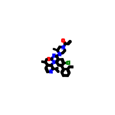 C=CC(=O)N1CCN(c2nc(=O)n(-c3c(C(C)C)ccnc3C(C)C)c3cc(-c4ccccc4C=C)c(Cl)cc23)[C@@H](C)C1